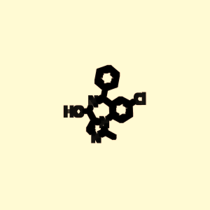 Cc1ncc2n1-c1ccc(Cl)cc1C(c1ccccc1)=NC2O